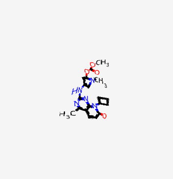 COC(=O)Oc1cc(Nc2nc(C)c3ccc(=O)n(C4CCC4)c3n2)cn1C